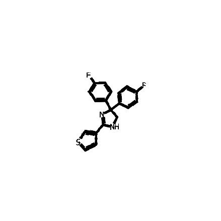 Fc1ccc(C2(c3ccc(F)cc3)CNC(c3ccsc3)=N2)cc1